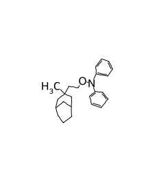 CC1(CCON(c2ccccc2)c2ccccc2)CC2CCCC(C2)C1